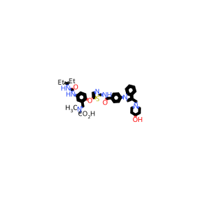 CCC(CC)NC(=O)Nc1ccc(Oc2cnc(NC(=O)c3ccc(-n4cc(CN5CCC(O)CC5)c5ccccc54)cc3)s2)c(CN(C)C(=O)O)c1